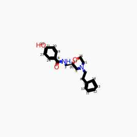 O=C(NC[C@@H]1CN(CCc2ccccc2)CCO1)c1ccc(O)cc1